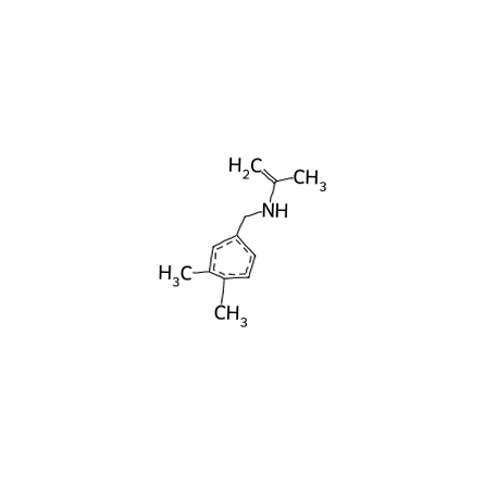 C=C(C)NCc1ccc(C)c(C)c1